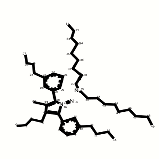 CCCCC1=C(c2cccc(CCCC)c2)[N+](=[N-])C(c2cccc(CCCC)c2)=C1C.CCCCCCCC[CH2][Ni][CH2]CCCCCCCC